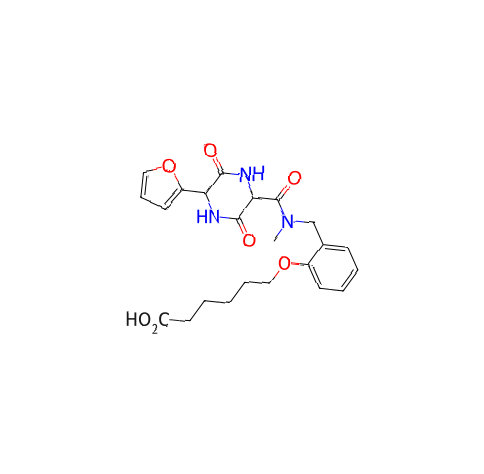 CN(Cc1ccccc1OCCCCCC(=O)O)C(=O)C1NC(=O)C(c2ccco2)NC1=O